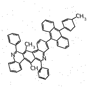 Cc1c2c(-c3ccccc3)nc3cc(-c4c5ccccc5c(C5=CCC(C)C=C5)c5ccccc45)ccc3c2c(C)c2c(-c3ccccc3)nc3ccccc3c12